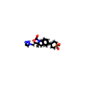 O=C1O[C@@H](Cn2ccnn2)[C@@H]2Cc3cc(C4CCS(=O)(=O)CC4)ccc3N12